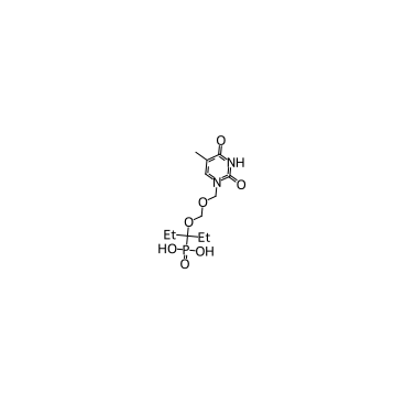 CCC(CC)(OCOCn1cc(C)c(=O)[nH]c1=O)P(=O)(O)O